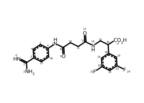 N=C(N)c1ccc(NC(=O)CCC(=O)NCC(C(=O)O)c2cc(F)cc(F)c2)cc1